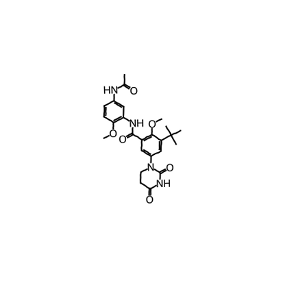 COc1ccc(NC(C)=O)cc1NC(=O)c1cc(N2CCC(=O)NC2=O)cc(C(C)(C)C)c1OC